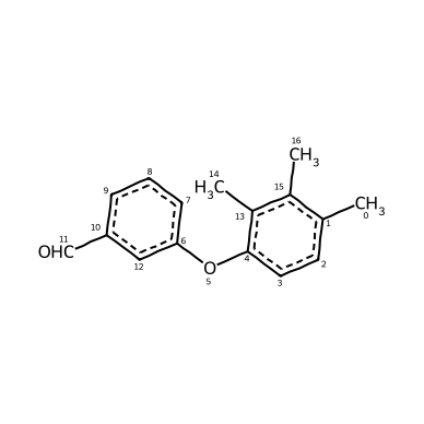 Cc1ccc(Oc2cccc(C=O)c2)c(C)c1C